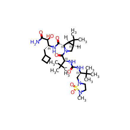 CN1CCN(C[C@@H](NC(=O)N[C@H](C(=O)N2C[C@H]3[C@@H]([C@H]2C(=O)N[C@H](CC2CCC2)C(O)C(N)=O)C3(C)C)C(C)(C)C)C(C)(C)C)S1(=O)=O